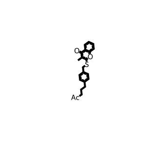 CC(=O)CCCc1ccc(CSc2oc3ccccc3c(=O)c2C)cc1